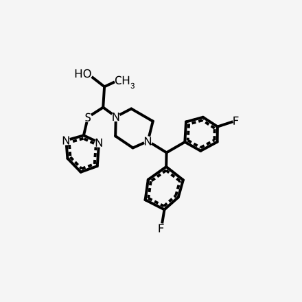 CC(O)C(Sc1ncccn1)N1CCN(C(c2ccc(F)cc2)c2ccc(F)cc2)CC1